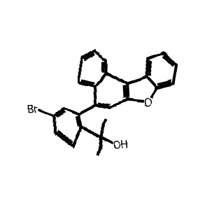 CC(C)(O)c1ccc(Br)cc1-c1cc2oc3ccccc3c2c2ccccc12